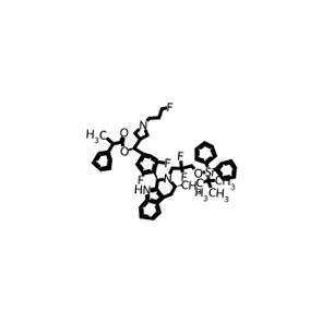 CC(C(=O)O[C@H](c1cc(F)c([C@@H]2c3[nH]c4ccccc4c3C[C@@H](C)N2CC(F)(F)CO[Si](c2ccccc2)(c2ccccc2)C(C)(C)C)c(F)c1)C1CN(CCCF)C1)c1ccccc1